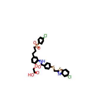 O=C(O)COc1ccc(CCCS(=O)(=O)c2ccc(Cl)cc2)cc1NC(=O)c1ccc(SCc2nc3cc(Cl)ccc3s2)cc1